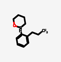 FC(F)(F)CCc1ccccc1[SiH]1CCCCO1